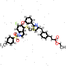 CCOC(=O)CCc1cccc(Cc2csc(-c3cccc(Oc4c(F)cc5c(ccn5S(=O)(=O)c5ccc(C)cc5)c4SC)c3)n2)c1